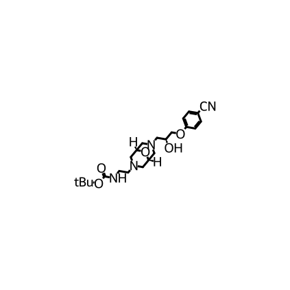 CC(C)(C)OC(=O)NCCN1C[C@@H]2CN(C[C@H](O)COc3ccc(C#N)cc3)C[C@H](C1)O2